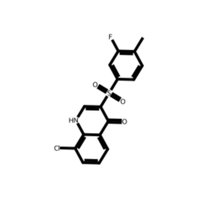 Cc1ccc(S(=O)(=O)c2c[nH]c3c(Cl)cccc3c2=O)cc1F